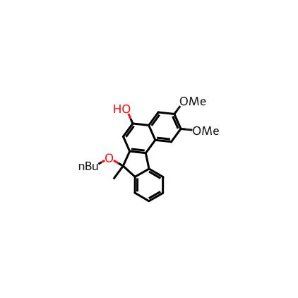 CCCCOC1(C)c2ccccc2-c2c1cc(O)c1cc(OC)c(OC)cc21